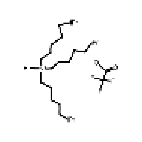 CC[N+](CCCCCC(C)C)(CCCCCC(C)C)CCCCCC(C)C.O=C([O-])C(F)(F)F